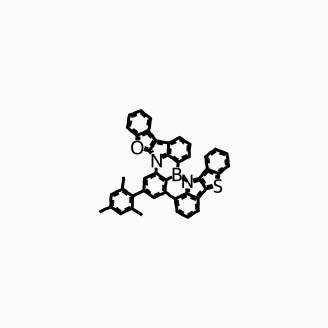 Cc1cc(C)c(-c2cc3c4c(c2)-n2c5oc6ccccc6c5c5cccc(c52)B4n2c4c-3cccc4c3sc4ccccc4c32)c(C)c1